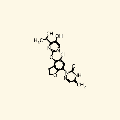 C=C1C=NN(c2cc(Cl)c(Oc3ncc(O)c(C(C)C)n3)c3c2OCC3)C(=O)N1